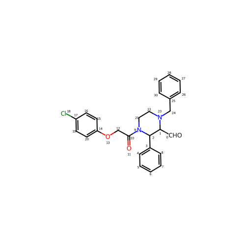 O=CC1C(c2ccccc2)N(C(=O)COc2ccc(Cl)cc2)CCN1Cc1ccccc1